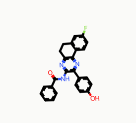 O=C(Nc1nc2c(nc1-c1ccc(O)cc1)-c1ccc(F)cc1CC2)c1ccccc1